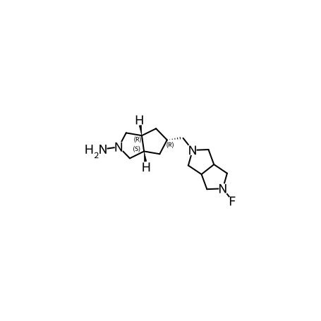 NN1C[C@H]2C[C@@H](CN3CC4CN(F)CC4C3)C[C@H]2C1